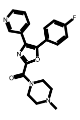 CN1CCN(C(=O)c2nc(-c3cccnc3)c(-c3ccc(F)cc3)o2)CC1